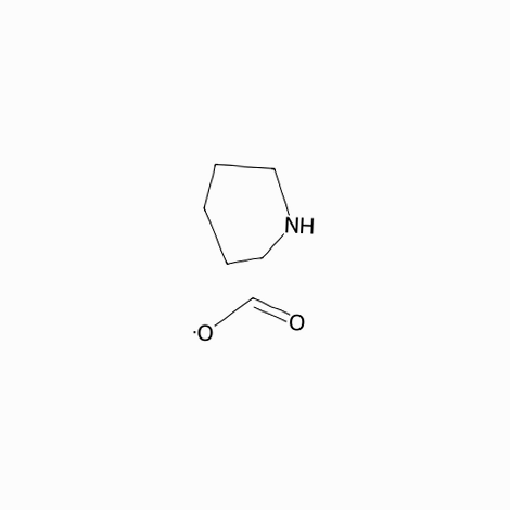 C1CCNCC1.[O]C=O